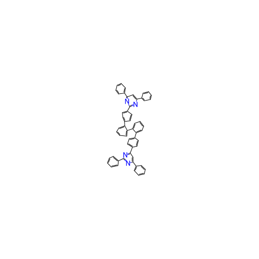 c1ccc(-c2cc(-c3ccc(-c4ccccc4-c4ccccc4-c4ccc(-c5nc(-c6ccccc6)cc(-c6ccccc6)n5)cc4)cc3)nc(-c3ccccc3)n2)cc1